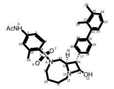 CC(=O)Nc1ccc(S(=O)(=O)N2CCCCN3[C@H](O)[C@@H](c4ccc(-c5cccc(C)c5C)cc4)[C@@H]3C2)c(C)c1